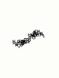 C[C@H]1CC[C@@H](c2nc(Cl)c(-c3ccc4c(c3)COc3cc5c(ccc6nc([C@@H]7CC[C@H](C)N7C(=O)OC(C)(C)C)[nH]c65)cc3-4)[nH]2)N1C(=O)OC(C)(C)C